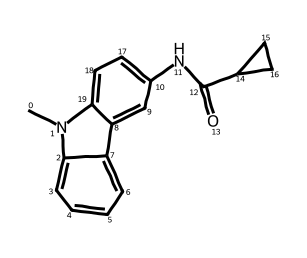 Cn1c2ccccc2c2cc(NC(=O)C3CC3)ccc21